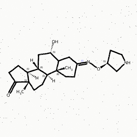 C[C@]12CC/C(=N\O[C@H]3CCNC3)CC1[C@@H](O)C[C@@H]1[C@@H]2CC[C@]2(C)C(=O)CC[C@@H]12